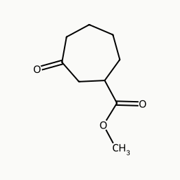 COC(=O)C1CCCCC(=O)C1